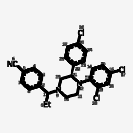 CCC(c1ccc(C#N)cc1)N1CCN(c2ccc(Cl)cc2Cl)[C@H](c2ccc(Cl)cc2)C1